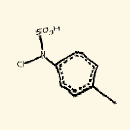 Cc1ccc(N(Cl)S(=O)(=O)O)cc1